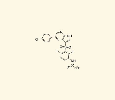 CCC[S+]([O-])Nc1ccc(F)c(S(=O)(=O)c2c[nH]c3ncc(-c4ccc(Cl)cc4)cc23)c1F